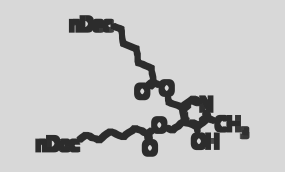 CCCCCCCCCCCCCCCC(=O)OCc1cnc(C)c(O)c1COC(=O)CCCCCCCCCCCCCCC